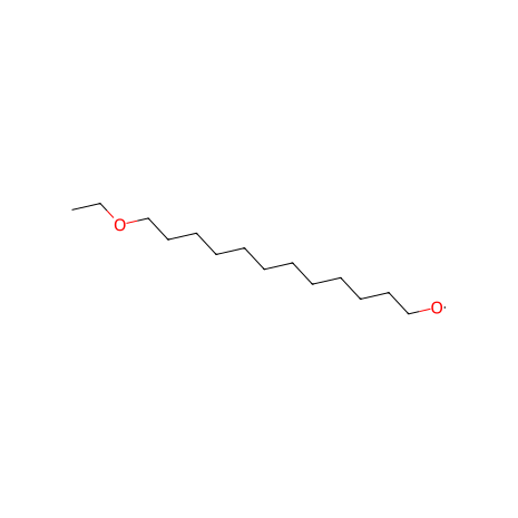 CCOCCCCCCCCCCCC[O]